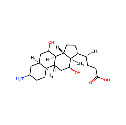 C[C@H](CCC(=O)O)[C@H]1CC[C@H]2[C@@H]3[C@H](O)C[C@@H]4CC(N)CC[C@]4(C)[C@H]3C[C@H](O)[C@]12C